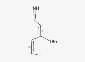 C/C=C\C(=C/C=N)C(C)(C)C